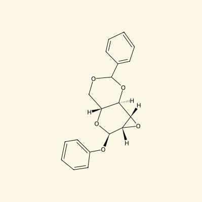 c1ccc(O[C@H]2O[C@@H]3COC(c4ccccc4)O[C@H]3[C@@H]3O[C@H]23)cc1